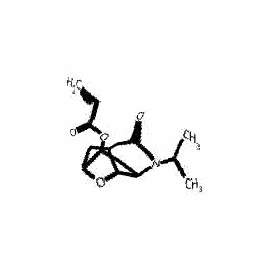 C=CC(=O)OC1C2CC3C(=O)N(C(C)C)C1C3O2